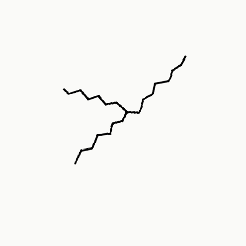 CCCCCCCC[C](CCCCCCC)CCCCCCC